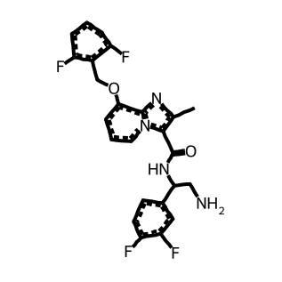 Cc1nc2c(OCc3c(F)cccc3F)cccn2c1C(=O)NC(CN)c1ccc(F)c(F)c1